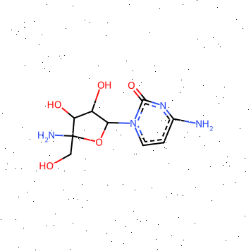 Nc1ccn(C2OC(N)(CO)C(O)C2O)c(=O)n1